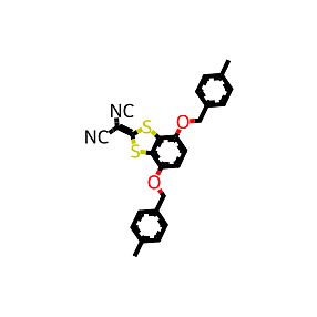 [C-]#[N+]C(C#N)=C1Sc2c(OCc3ccc(C)cc3)ccc(OCc3ccc(C)cc3)c2S1